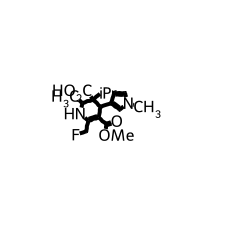 COC(=O)C1=C(CF)NC(C)C(C(=O)O)(C(C)C)C1c1ccn(C)c1